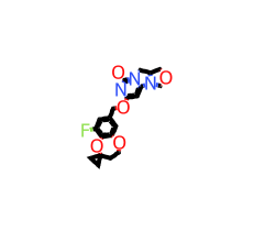 O=c1nc(OCc2cc(F)c3c(c2)OCCC2(CC2)O3)cc2n1CC1COCN21